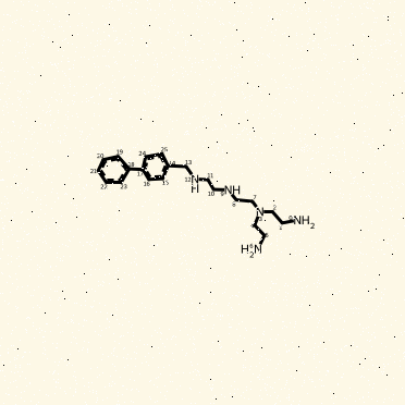 NCCN(CCN)CCNCCNCc1ccc(-c2ccccc2)cc1